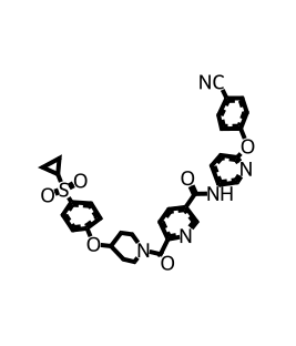 N#Cc1ccc(Oc2ccc(NC(=O)c3ccc(C(=O)N4CCC(Oc5ccc(S(=O)(=O)C6CC6)cc5)CC4)nc3)cn2)cc1